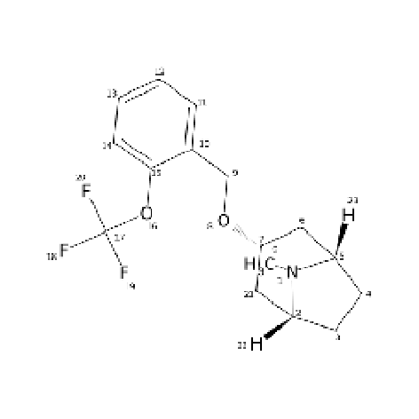 CN1[C@@H]2CC[C@H]1C[C@@H](OCc1ccccc1OC(F)(F)F)C2